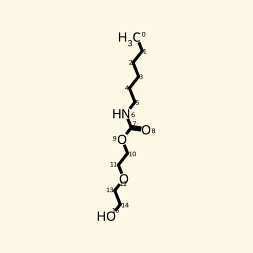 CCCCCCNC(=O)OCCOCCO